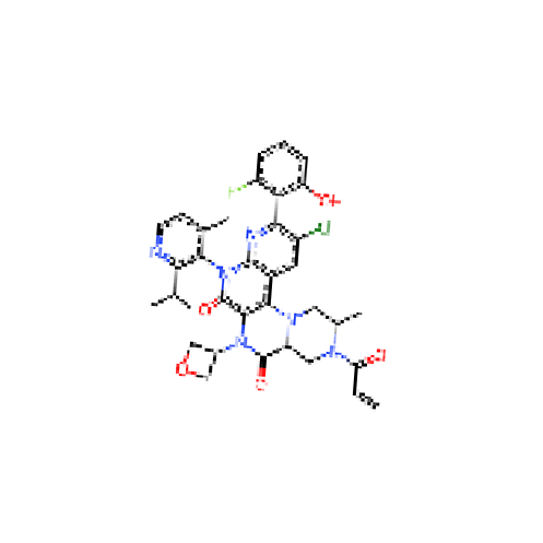 C=CC(=O)N1CC2C(=O)N(C3COC3)c3c(c4cc(Cl)c(-c5c(O)cccc5F)nc4n(-c4c(C)ccnc4C(C)C)c3=O)N2CC1C